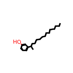 CCCCCCCCCCCCCC(C)c1cccc(O)c1